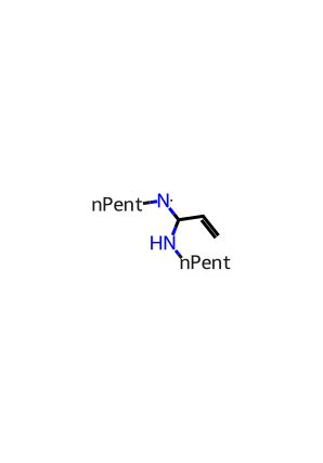 C=CC([N]CCCCC)NCCCCC